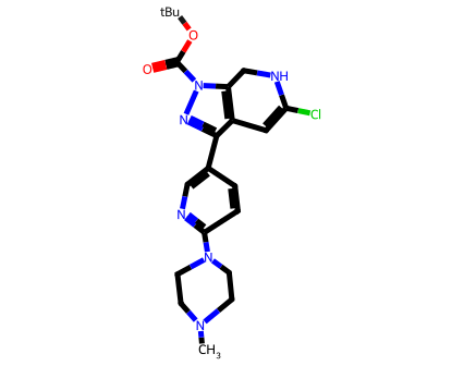 CN1CCN(c2ccc(-c3nn(C(=O)OC(C)(C)C)c4c3C=C(Cl)NC4)cn2)CC1